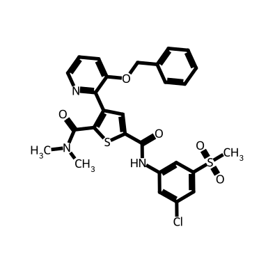 CN(C)C(=O)c1sc(C(=O)Nc2cc(Cl)cc(S(C)(=O)=O)c2)cc1-c1ncccc1OCc1ccccc1